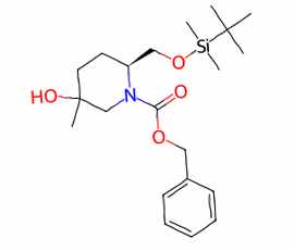 CC1(O)CC[C@@H](CO[Si](C)(C)C(C)(C)C)N(C(=O)OCc2ccccc2)C1